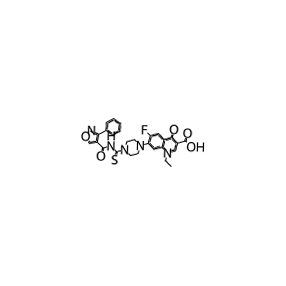 CCn1cc(C(=O)O)c(=O)c2cc(F)c(N3CCN(C(=S)NC(=O)c4conc4-c4ccccc4)CC3)cc21